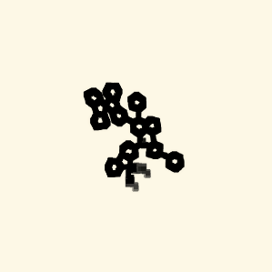 CC1(C)c2ccccc2-c2ccc(N(c3ccc(-c4ccccc4)c(-c4ccc5c(c4)-c4ccccc4C54c5ccccc5-c5ccccc54)c3)c3ccc(-c4ccccc4)cc3-c3ccccc3)cc21